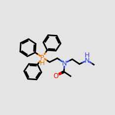 CNCCN(CC[PH](c1ccccc1)(c1ccccc1)c1ccccc1)C(C)=O